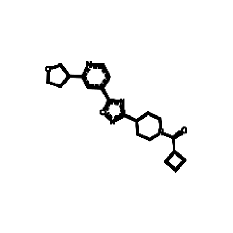 O=C(C1CCC1)N1CCC(c2noc(-c3ccnc(C4CCOC4)c3)n2)CC1